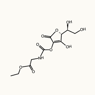 CCOC(=O)CNC(=O)OC1=C(O)[C@@H]([C@@H](O)CO)OC1=O